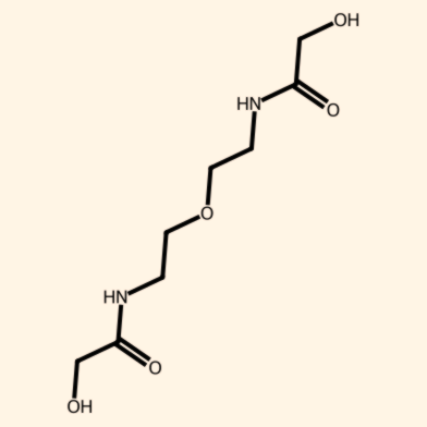 O=C(CO)NCCOCCNC(=O)CO